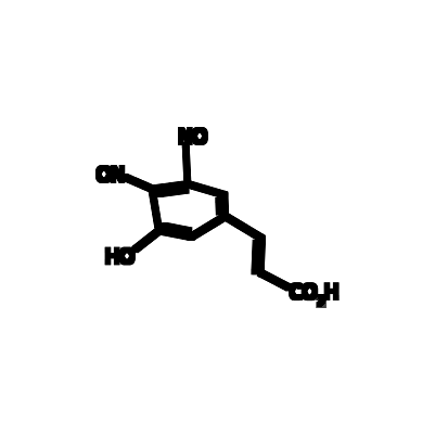 O=Nc1cc(/C=C/C(=O)O)cc(O)c1N=O